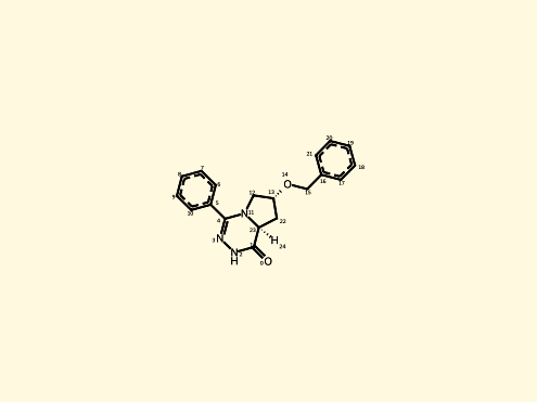 O=C1NN=C(c2ccccc2)N2C[C@H](OCc3ccccc3)C[C@@H]12